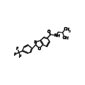 CC(O)CNC(=O)c1ccc2oc(-c3ccc(C(F)(F)F)cc3)nc2c1